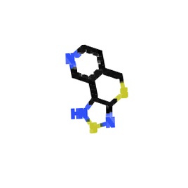 C1=c2ccncc2=C2NSN=C2S1